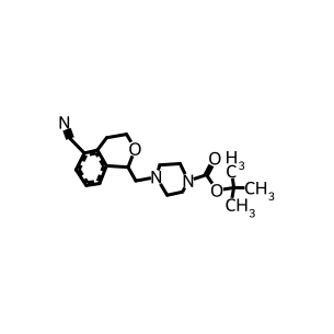 CC(C)(C)OC(=O)N1CCN(CC2OCCc3c(C#N)cccc32)CC1